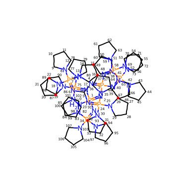 NP(=NP(=NC(N=P(N1CCCC1)(N1CCCC1)N1CCCC1)N=P(N1CCCC1)(N1CCCC1)N1CCCC1)(N=P(N1CCCC1)(N1CCCC1)N1CCCC1)N=P(N1CCCC1)(N1CCCC1)N1CCCC1)(N=P(N1CCCC1)(N1CCCC1)N1CCCC1)N=P(N1CCCC1)(N1CCCC1)N1CCCC1